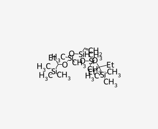 C=C[SiH](O[Si](C)(C)OC(CC)[Si](C)(C)C)O[Si](C)(C)OC(CC)(CC)[Si](C)(C)C